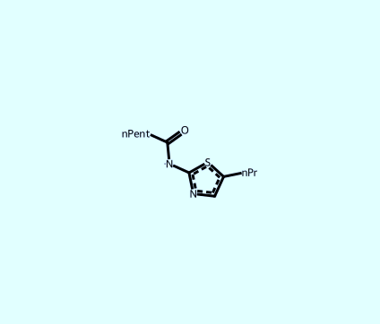 CCCCCC(=O)[N]c1ncc(CCC)s1